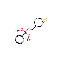 CCO[Si](CCC1CCC2SC2C1)(OCC)c1ccccc1